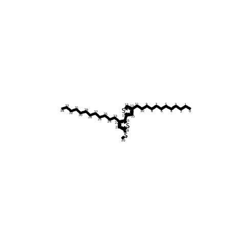 CCCCCCCCCCCCc1csc(-c2sc(SC)cc2CCCCCCCCCCCC)c1